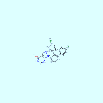 O=c1[nH]cnc2c1cnn2-c1cccc(-c2ccc(Br)cc2)c1-c1ccc(Br)cc1